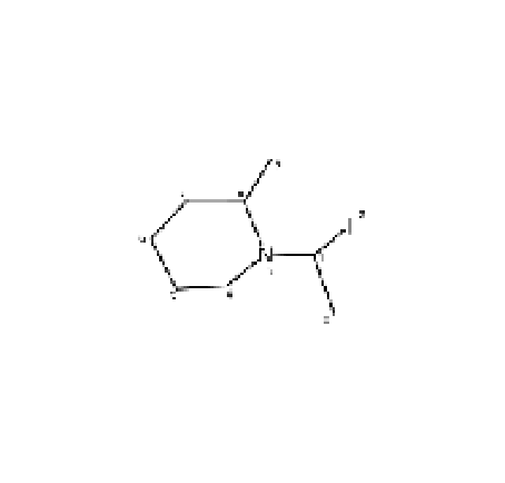 CC(I)N1CCCCC1C